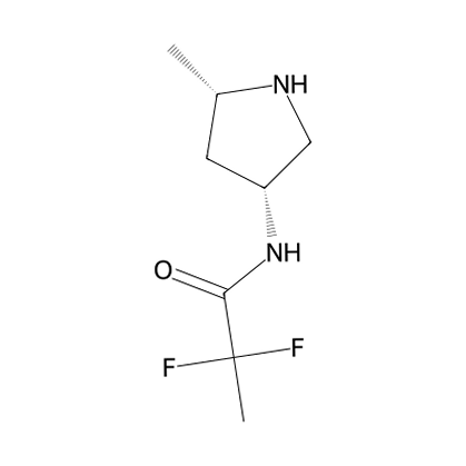 C[C@H]1C[C@@H](NC(=O)C(C)(F)F)CN1